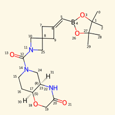 CC1(C)OB(C=C2CC3(C2)CN(C(=O)N2CC[C@@H]4OCC(=O)N[C@@H]4C2)C3)OC1(C)C